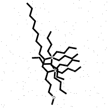 CCCCCCCCCC(CC([CH]CCOC)P(CCCC)(CCCC)(CCCC)CCCC)P(CCCC)(CCCC)(CCCC)CCCC